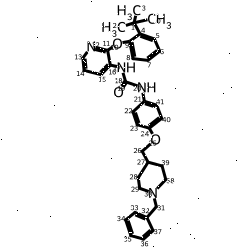 CC(C)(C)c1ccccc1Oc1ncccc1NC(=O)Nc1ccc(OCC2CCN(Cc3ccccc3)CC2)cc1